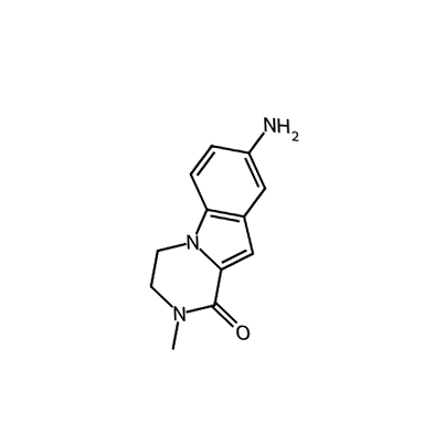 CN1CCn2c(cc3cc(N)ccc32)C1=O